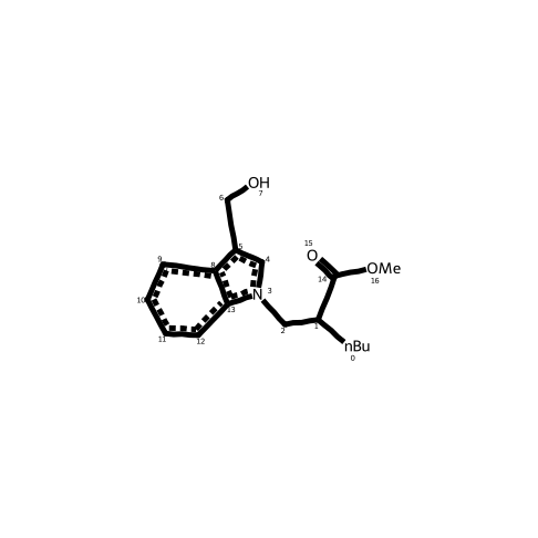 CCCCC(Cn1cc(CO)c2ccccc21)C(=O)OC